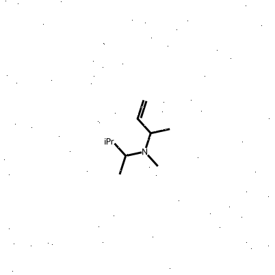 C=CC(C)N(C)C(C)C(C)C